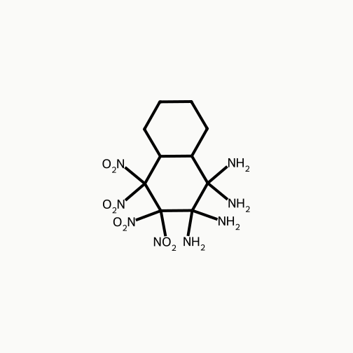 NC1(N)C2CCCCC2C([N+](=O)[O-])([N+](=O)[O-])C([N+](=O)[O-])([N+](=O)[O-])C1(N)N